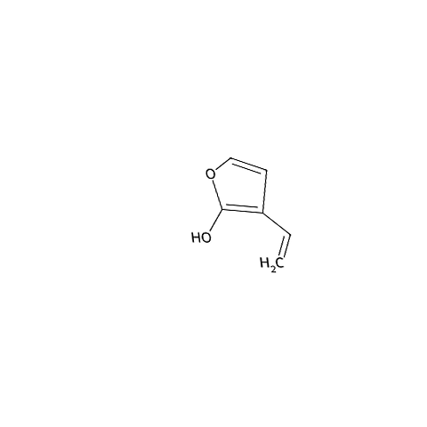 C=Cc1ccoc1O